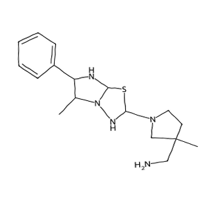 CC1C(c2ccccc2)NC2SC(N3CCC(C)(CN)C3)NN21